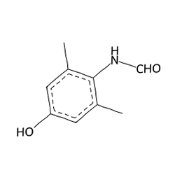 Cc1cc(O)cc(C)c1NC=O